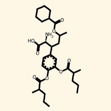 CCCC(C)C(=O)Oc1ccc(C(CC(C)OC(=O)C2CCCCC2)[C@H](N)C(=O)O)cc1OC(=O)C(C)CCC